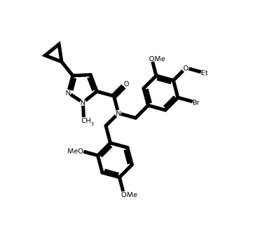 CCOc1c(Br)cc(CN(Cc2ccc(OC)cc2OC)C(=O)c2cc(C3CC3)nn2C)cc1OC